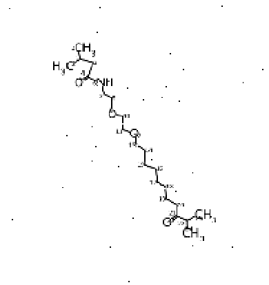 CC(C)CC(=O)NCCOCCOCCCCCCCCC(=O)C(C)C